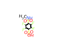 CNS(=O)(=O)c1c(F)c(F)c(S(=O)(=O)O)c(F)c1F